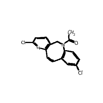 CC(=O)N1Cc2ccc(Cl)nc2C=Cc2cc(Cl)ccc21